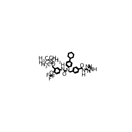 CC(C)(C)[Si](C)(C)OCc1cc(NC(=O)N(Cc2ccc(C(=O)Nc3nn[nH]n3)cc2)c2ccc(C3CCCCC3)cc2)ccc1OC(F)(F)F